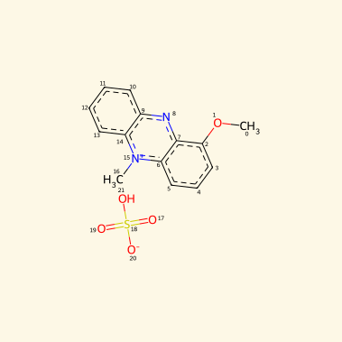 COc1cccc2c1nc1ccccc1[n+]2C.O=S(=O)([O-])O